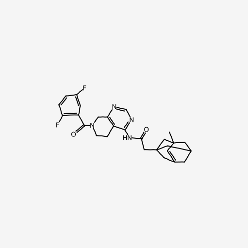 CC12C=C3CC(C1)CC(CC(=O)Nc1ncnc4c1CCN(C(=O)c1cc(F)ccc1F)C4)(C3)C2